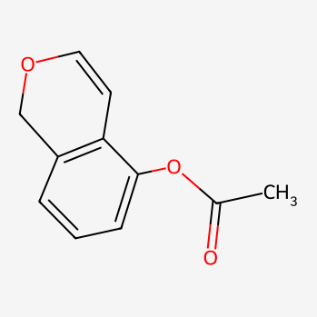 CC(=O)Oc1cccc2c1C=COC2